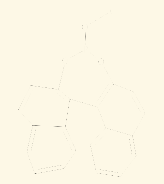 ClOp1oc2ccc3ccccc3c2c2c(ccc3ccccc32)o1